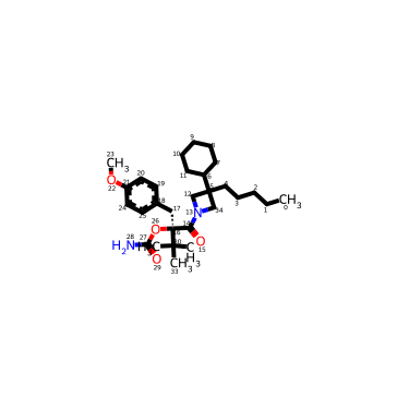 CCCCCC1(C2CCCCC2)CN(C(=O)[C@](Cc2ccc(OC)cc2)(OC(N)=O)C(C)(C)C)C1